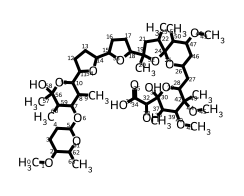 COC1CCC(OC2C(C)C(C3CCC(C4CCC(C5(C)CC(C)C6(OC(CC7OC(O)(C(O)C(=O)O)C(C)C(OC)C7(C)OC)CC(OC)C6C)O5)O4)O3)OC(C)(O)C2C)OC1C